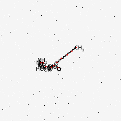 CCCCCCCCCCCCCCCCCCOC[C@H](COP(=O)(O)OC[C@H]1O[C@@](C#N)(c2ccc3c(N)ncnn23)[C@H](O)[C@@H]1O)OCC1CCCCC1